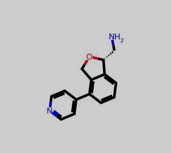 NC[C@H]1OCc2c(-c3ccncc3)cccc21